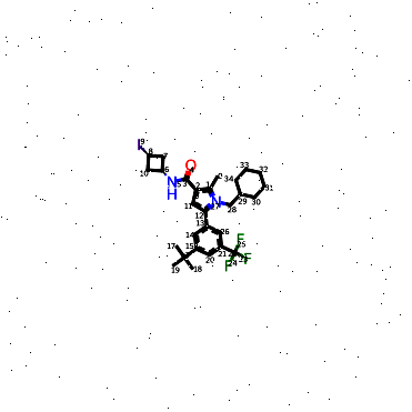 Cc1c(C(=O)N[C@H]2C[C@H](I)C2)cc(-c2cc(C(C)(C)C)cc(C(F)(F)F)c2)n1CC1CCCCC1